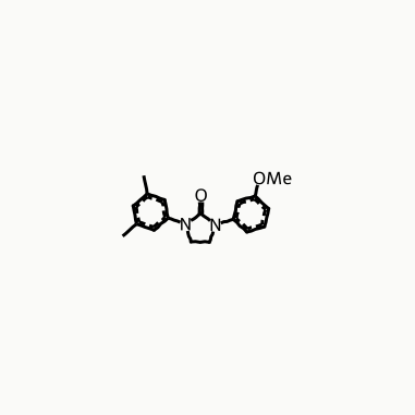 COc1cccc(N2CCN(c3cc(C)cc(C)c3)C2=O)c1